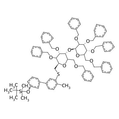 Cc1ccc(-c2cccc(O[Si](C)(C)C(C)(C)C)c2)cc1SC[C@@H]1OC(COCc2ccccc2)[C@@H](O[C@@H]2OC(COCc3ccccc3)[C@@H](OCc3ccccc3)[C@@H](OCc3ccccc3)C2OCc2ccccc2)[C@@H](OCc2ccccc2)C1OCc1ccccc1